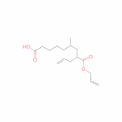 C=CCOC(=O)C(CC=C)CC(C)CCCCC(=O)O